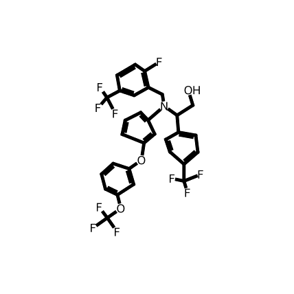 OCC(c1ccc(C(F)(F)F)cc1)N(Cc1cc(C(F)(F)F)ccc1F)c1cccc(Oc2cccc(OC(F)(F)F)c2)c1